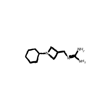 NC(N)=NCC1CN(C2CCCCC2)C1